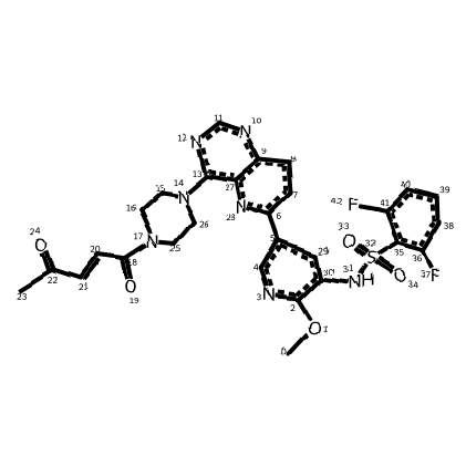 COc1ncc(-c2ccc3ncnc(N4CCN(C(=O)/C=C/C(C)=O)CC4)c3n2)cc1NS(=O)(=O)c1c(F)cccc1F